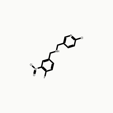 O=[N+]([O-])c1cc(CNCc2ccc(Cl)nc2)ccc1F